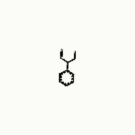 CCC(N=O)c1ccccc1